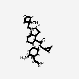 CC1(CN2CCC3C2=CCCC3C(=O)N(C2CC2)C2CCC(N)=C(C=N)C2)COC1